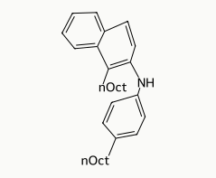 CCCCCCCCc1ccc(Nc2ccc3ccccc3c2CCCCCCCC)cc1